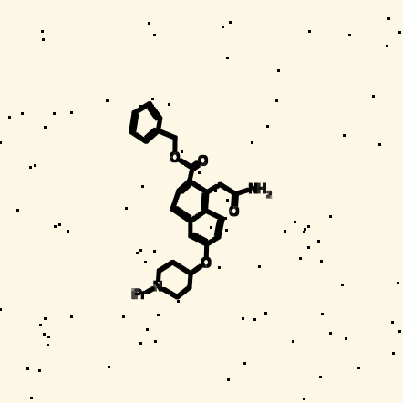 CC(C)N1CCC(Oc2ccc3c(CC(N)=O)c(C(=O)OCc4ccccc4)ccc3c2)CC1